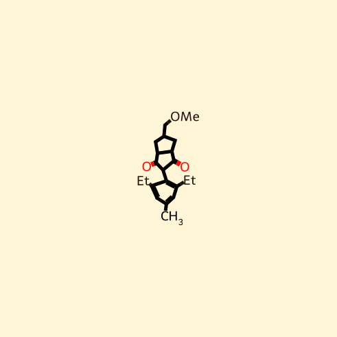 CCc1cc(C)cc(CC)c1C1C(=O)C2CC(COC)CC2C1=O